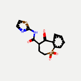 O=C(Nc1nccs1)C1CCS(=O)(=O)c2ccccc2C1=O